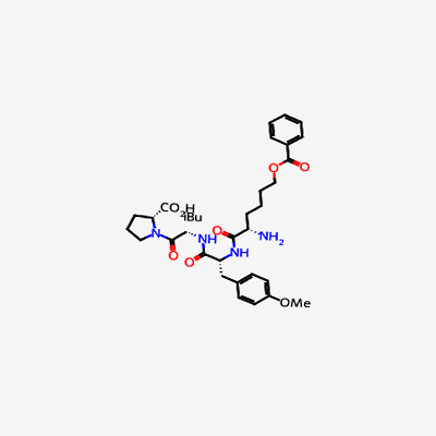 CC[C@H](C)[C@H](NC(=O)[C@@H](Cc1ccc(OC)cc1)NC(=O)[C@@H](N)CCCCOC(=O)c1ccccc1)C(=O)N1CCC[C@@H]1C(=O)O